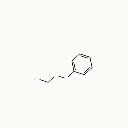 CCC(C)CO[B]c1ccccc1.O.O